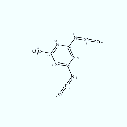 O=C=Nc1nc(N=C=O)nc(C(Cl)(Cl)Cl)n1